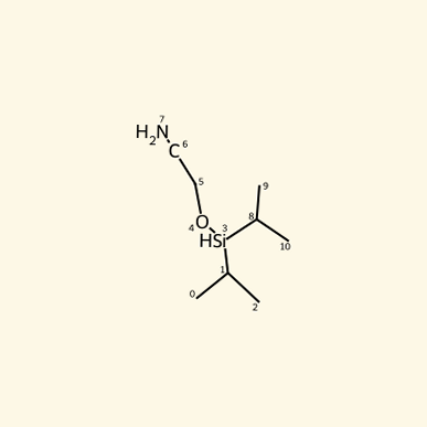 CC(C)[SiH](OCCN)C(C)C